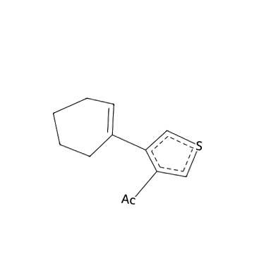 CC(=O)c1cscc1C1=CCCCC1